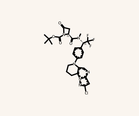 CN(C(=O)[C@@H]1CC(=O)N1C(=O)OC(C)(C)C)[C@@H](c1ccc(N2CCCc3c2cnc2cc(Cl)nn32)cc1)C(F)(F)F